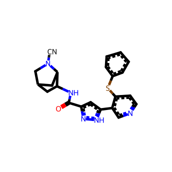 N#CN1CC2CC(NC(=O)c3cc(-c4cnccc4Sc4ccccc4)[nH]n3)C1C2